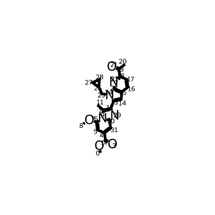 COC(=O)c1cc(OC)n2c(C)c(-c3cc4ccc(C(C)=O)nc4n3CC3CC3)nc2c1